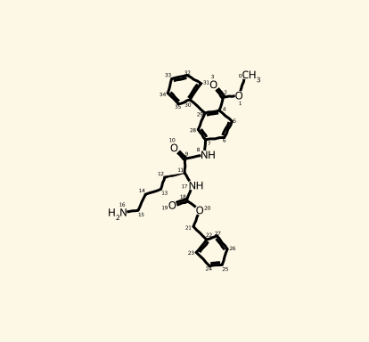 COC(=O)c1ccc(NC(=O)[C@H](CCCCN)NC(=O)OCc2ccccc2)cc1-c1ccccc1